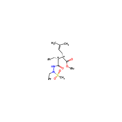 CC(C)=CC[C@H](C(=O)OC(C)(C)C)[C@@H](CC(C)C)C(=O)NN(CC(C)C)S(C)(=O)=O